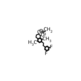 C=CC(=O)O[C@H]1c2c(C)c(CCc3cc(F)cc(F)c3)cc(C)c2CC[C@H]1C